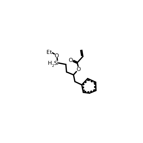 C=CC(=O)OC(CC[SiH2]OCC)Cc1ccccc1